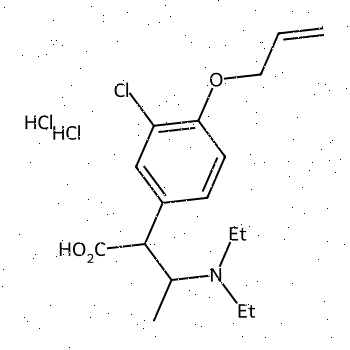 C=CCOc1ccc(C(C(=O)O)C(C)N(CC)CC)cc1Cl.Cl.Cl